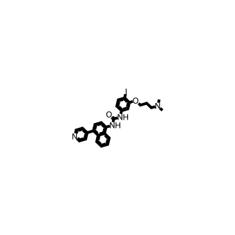 CN(C)CCCOc1cc(NC(=O)Nc2ccc(-c3ccncc3)c3ccccc23)ccc1I